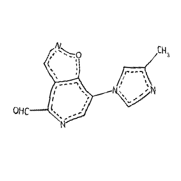 Cc1cn(-c2cnc(C=O)c3cnoc23)cn1